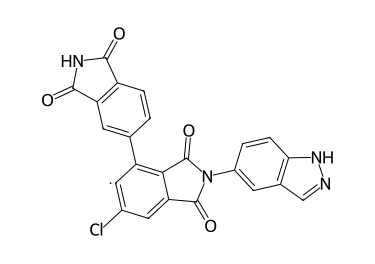 O=C1NC(=O)c2cc(-c3[c]c(Cl)cc4c3C(=O)N(c3ccc5[nH]ncc5c3)C4=O)ccc21